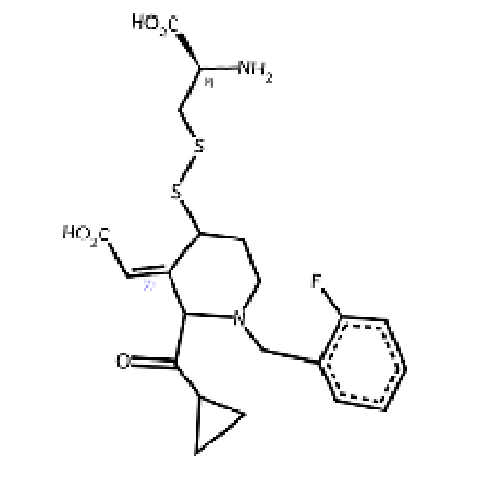 N[C@@H](CSSC1CCN(Cc2ccccc2F)C(C(=O)C2CC2)/C1=C/C(=O)O)C(=O)O